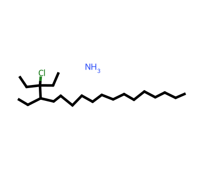 CCCCCCCCCCCCCCC(CC)C(Cl)(CC)CC.N